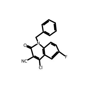 N#Cc1c(Cl)c2cc(F)ccc2n(Cc2ccccc2)c1=O